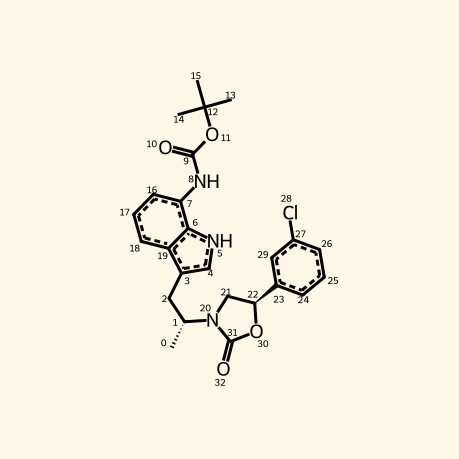 C[C@H](Cc1c[nH]c2c(NC(=O)OC(C)(C)C)cccc12)N1C[C@@H](c2cccc(Cl)c2)OC1=O